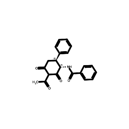 CC(=O)C1C(=O)C[C@@H](c2ccccc2)[C@H](NC(=O)c2ccccc2)C1=O